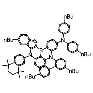 CCCCc1ccc(-c2cc(CCCC)ccc2N2c3cc(N(c4ccc(CCCC)cc4)c4ccc(CCCC)cc4)ccc3B3c4sc5ccc(CCCC)cc5c4N(c4ccc5c(c4)C(C)(C)CCC5(C)C)c4cc(C)cc2c43)cc1